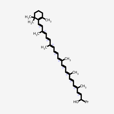 CC1=C(/C=C/C(C)=C/C=C/C(C)=C/C=C/C=C(C)/C=C/C=C(C)/C=C/C=C(C)/C=C/C(O)C(C)C)C(C)(C)CCC1